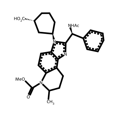 COC(=O)N1c2ccc3c(nc([C@@H](NC(C)=O)c4ccccc4)n3[C@@H]3CCC[C@@H](C(=O)O)C3)c2CCC1C